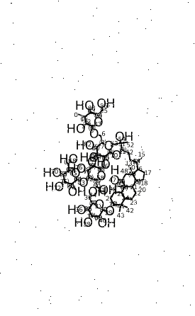 C[C@@H]1[C@@H](O)[C@@H](OC[C@H]2O[C@@H](O[C@H](CC[C@@H](C)C3CC[C@@]4(C)C5CC=C6C(CC[C@H](O[C@@H]7O[C@H](CO)[C@@H](O)[C@H](O)[C@H]7O)C6(C)C)[C@]5(C)[C@H](O)C[C@]34C)C(C)(C)O)[C@H](O[C@H]3O[C@@H](CO)[C@H](O[C@H]4O[C@H](CO)[C@@H](O)[C@H](O)[C@H]4O)[C@@H](O)[C@@H]3O)[C@@H](O)[C@@H]2O)O[C@H](CO)[C@H]1O